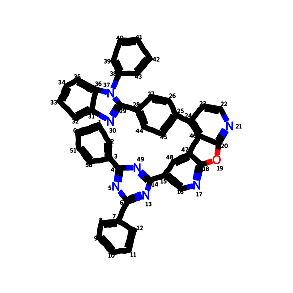 c1ccc(-c2nc(-c3ccccc3)nc(-c3cnc4oc5nccc(-c6ccc(-c7nc8ccccc8n7-c7ccccc7)cc6)c5c4c3)n2)cc1